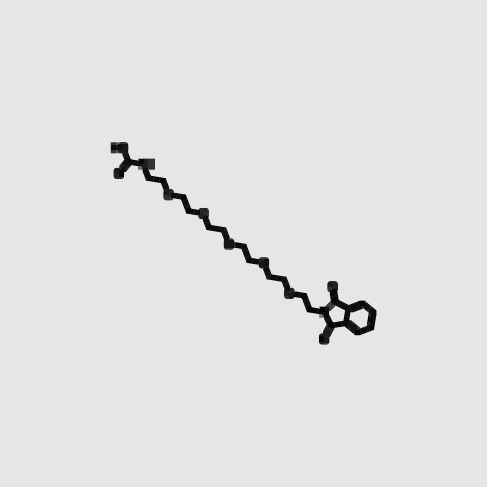 O=C(O)NCCOCCOCCOCCOCCOCCN1C(=O)c2ccccc2C1=O